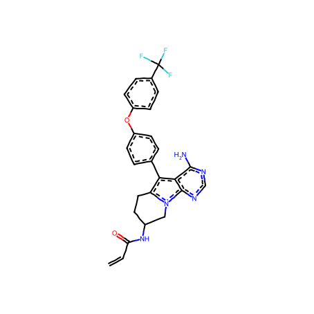 C=CC(=O)NC1CCc2c(-c3ccc(Oc4ccc(C(F)(F)F)cc4)cc3)c3c(N)ncnc3n2C1